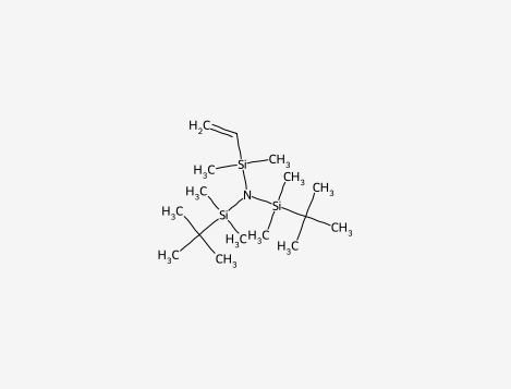 C=C[Si](C)(C)N([Si](C)(C)C(C)(C)C)[Si](C)(C)C(C)(C)C